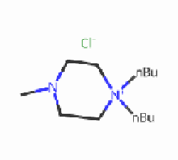 CCCC[N+]1(CCCC)CCN(C)CC1.[Cl-]